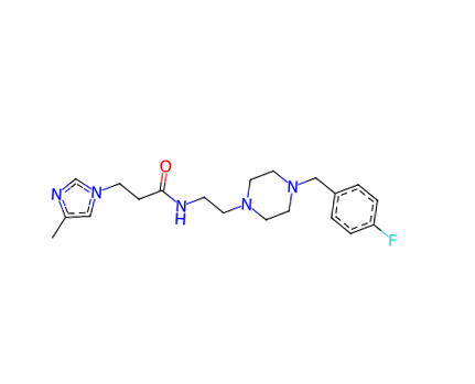 Cc1cn(CCC(=O)NCCN2CCN(Cc3ccc(F)cc3)CC2)cn1